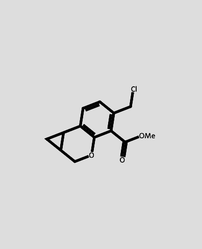 COC(=O)c1c(CCl)ccc2c1OCC1CC21